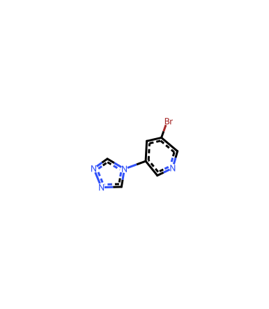 Brc1cncc(-n2cnnc2)c1